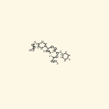 NC(=O)C[C@H](NC(=O)c1ccc2c(c1)B(O)OC2)C(=O)OCc1ccccc1